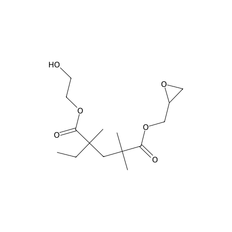 CCC(C)(CC(C)(C)C(=O)OCC1CO1)C(=O)OCCO